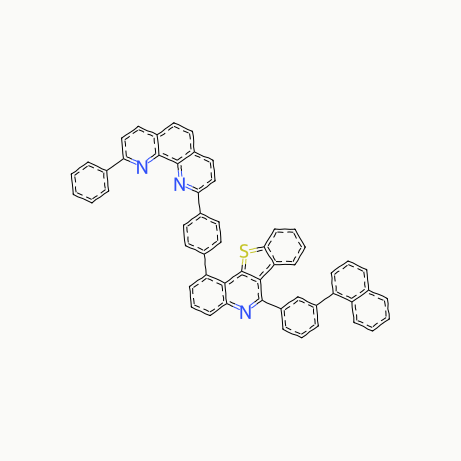 c1ccc(-c2ccc3ccc4ccc(-c5ccc(-c6cccc7nc(-c8cccc(-c9cccc%10ccccc9%10)c8)c8c9ccccc9sc8c67)cc5)nc4c3n2)cc1